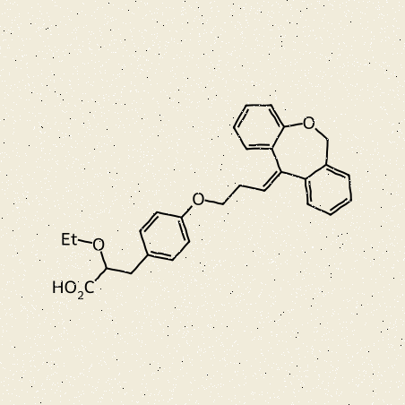 CCOC(Cc1ccc(OCCC=C2c3ccccc3COc3ccccc32)cc1)C(=O)O